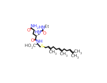 CCNC(=O)NC[C@@H](CCC(N)=O)C(=O)N[C@@H](CSC/C=C(\C)CC/C=C(\C)CCC=C(C)C)C(=O)O